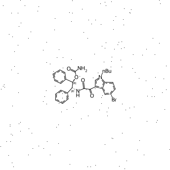 CCCCn1cc(C(=O)C(=O)N[C@H](c2ccccc2)[C@H](OC(N)=O)c2ccccc2)c2cc(Br)ccc21